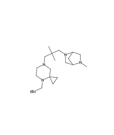 CN1CC2CC1CN2CC(C)(C)CN1CCN(CC(C)(C)C)C2(CC2)C1